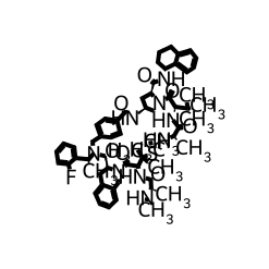 CN[C@@H](C)C(=O)NC(C(=O)N1Cc2ccccc2C[C@H]1C(=O)N(Cc1ccc(C(=O)N[C@H]2C[C@@H](C(=O)N[C@@H]3CCCc4ccccc43)N(C(=O)[C@@H](NC(=O)[C@H](C)NC)C(C)(C)C)C2)cc1)[C@H](C)c1ccccc1F)C(C)(C)SC